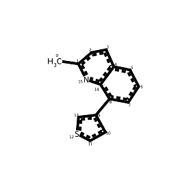 Cc1ccc2cccc(-c3ccsc3)c2n1